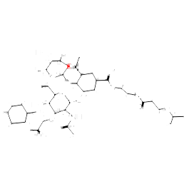 CCC1CC(C(=O)NCCNC(=O)CCOC(C)C)C[C@@H](O[C@@H]2OC(CO)[C@H](O)C(O[C@@H](CC3CCCCC3)C(=O)O)C2NC(C)=O)C1OC1O[C@@H](C)[C@H](O)C(O)[C@@H]1O